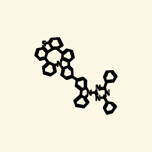 c1ccc(-c2nc(-c3ccccc3)nc(-n3c4ccccc4c4cc(-c5ccc6c(c5)c5cccc7c8cccc9sc%10cccc(c%11ccccc%11n6c75)c%10c98)ccc43)n2)cc1